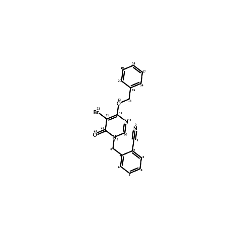 N#Cc1ccccc1Cn1cnc(OCc2ccccc2)c(Br)c1=O